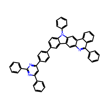 c1ccc(-c2cc(-c3ccc(-c4ccc5c(c4)c4cc6nc(-c7ccccc7)c7ccccc7c6cc4n5-c4ccccc4)cc3)nc(-c3ccccc3)n2)cc1